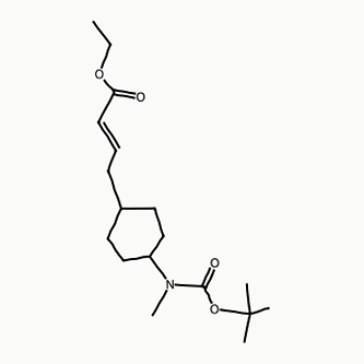 CCOC(=O)C=CCC1CCC(N(C)C(=O)OC(C)(C)C)CC1